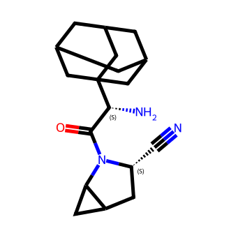 N#C[C@@H]1CC2CC2N1C(=O)[C@@H](N)C12CC3CC(CC(C3)C1)C2